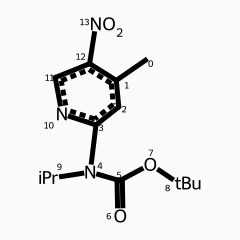 Cc1cc(N(C(=O)OC(C)(C)C)C(C)C)ncc1[N+](=O)[O-]